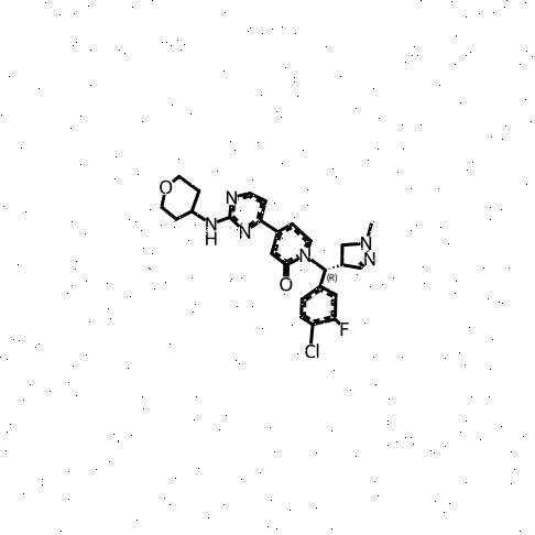 CN1CC([C@H](c2ccc(Cl)c(F)c2)n2ccc(-c3ccnc(NC4CCOCC4)n3)cc2=O)C=N1